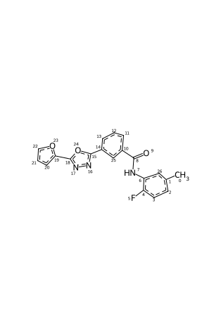 Cc1ccc(F)c(NC(=O)c2cccc(-c3nnc(-c4ccco4)o3)c2)c1